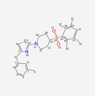 Cc1cccc(Cc2csc(N3CCC(S(=O)(=O)c4c(C)c(C)cc(C)c4C)CC3)n2)c1